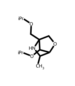 CC(C)OCC12COC(C(C)N1)C2OC(C)C